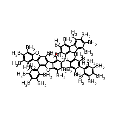 Bc1c(B)c(B)c(-c2c(B)c(B)c(N(c3c(B)c(B)c(B)c4c3Cc3c(B)c(B)c(B)c(B)c3-4)c3c(B)c(B)c4oc5c(-c6c(B)c(B)c(B)c(B)c6B)c6c(oc7c(B)c(B)c(B)c(B)c76)c(B)c5c4c3B)c(B)c2B)c(B)c1B